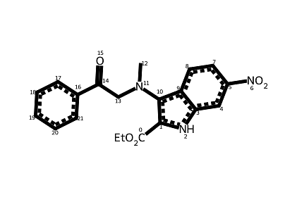 CCOC(=O)c1[nH]c2cc([N+](=O)[O-])ccc2c1N(C)CC(=O)c1ccccc1